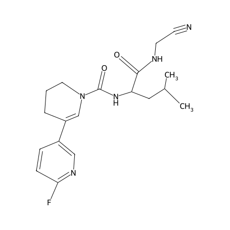 CC(C)CC(NC(=O)N1C=C(c2ccc(F)nc2)CCC1)C(=O)NCC#N